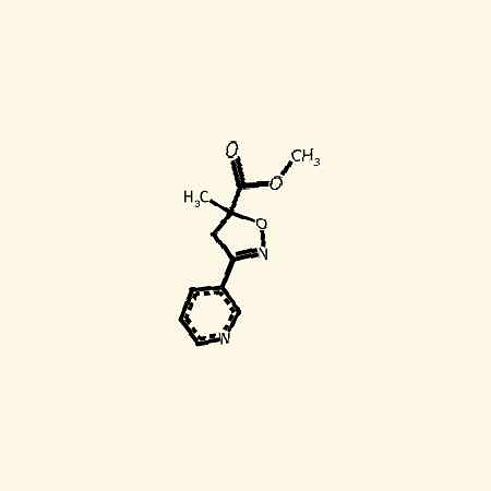 COC(=O)C1(C)CC(c2cccnc2)=NO1